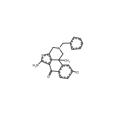 CC12CN(Cc3ccccc3)Cc3sc(N)c(c31)C(=O)c1ccc(Cl)cc12